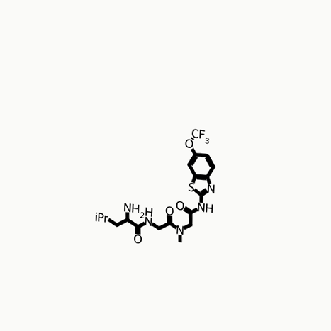 CC(C)CC(N)C(=O)NCC(=O)N(C)CC(=O)Nc1nc2ccc(OC(F)(F)F)cc2s1